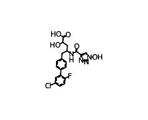 O=C(NC(Cc1ccc(-c2cc(Cl)ccc2F)cc1)CC(O)C(=O)O)c1cn(O)nn1